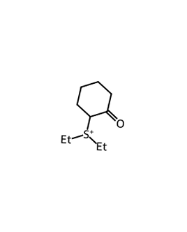 CC[S+](CC)C1CCCCC1=O